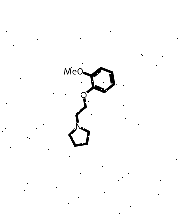 COc1cc[c]cc1OCCN1CCCC1